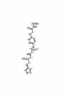 CONC(=O)COc1ccc(OCCNCC(O)COc2ccsc2)cc1.Cl